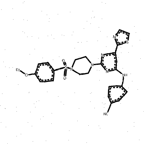 CCOc1ccc(S(=O)(=O)N2CCN(c3nc(Nc4ccc(C#N)cc4)cc(-c4nccs4)n3)CC2)cc1